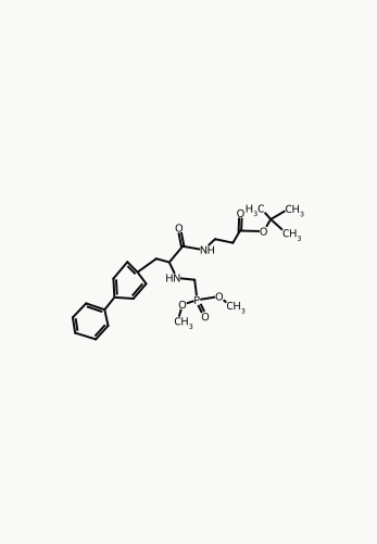 COP(=O)(CNC(Cc1ccc(-c2ccccc2)cc1)C(=O)NCCC(=O)OC(C)(C)C)OC